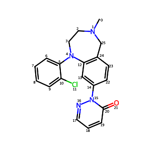 CN1CCN(c2ccccc2Cl)c2cc(-n3ncccc3=O)ccc2C1